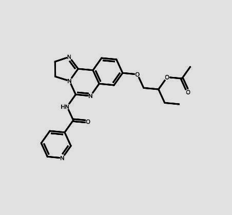 CCC(COc1ccc2c(c1)N=C(NC(=O)c1cccnc1)N1CCN=C21)OC(C)=O